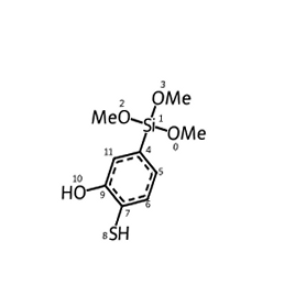 CO[Si](OC)(OC)c1ccc(S)c(O)c1